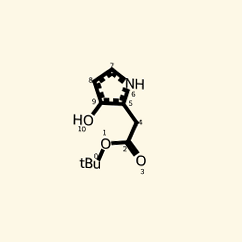 CC(C)(C)OC(=O)[CH]c1[nH]ccc1O